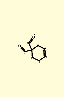 O=CC1(C=O)CC=CCC1